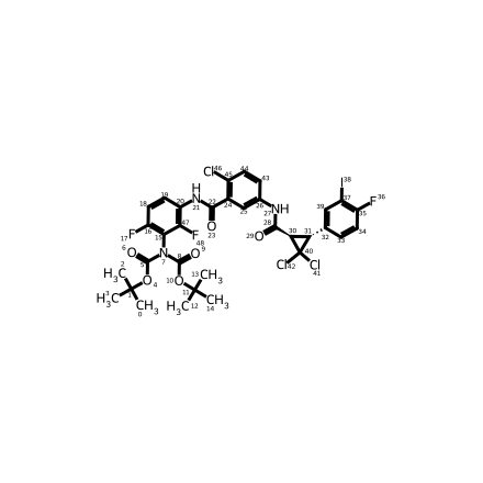 CC(C)(C)OC(=O)N(C(=O)OC(C)(C)C)c1c(F)ccc(NC(=O)c2cc(NC(=O)[C@H]3[C@H](c4ccc(F)c(I)c4)C3(Cl)Cl)ccc2Cl)c1F